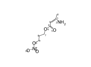 CC(N)=CC(=O)OCCCO[N+](=O)[O-]